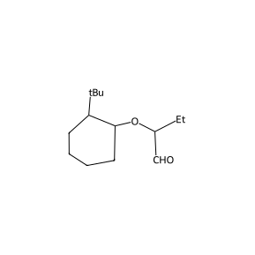 CCC(C=O)OC1CCCCC1C(C)(C)C